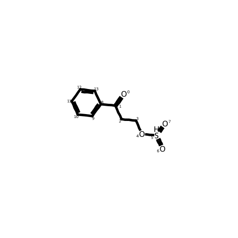 O=C(CCO[SH](=O)=O)c1ccccc1